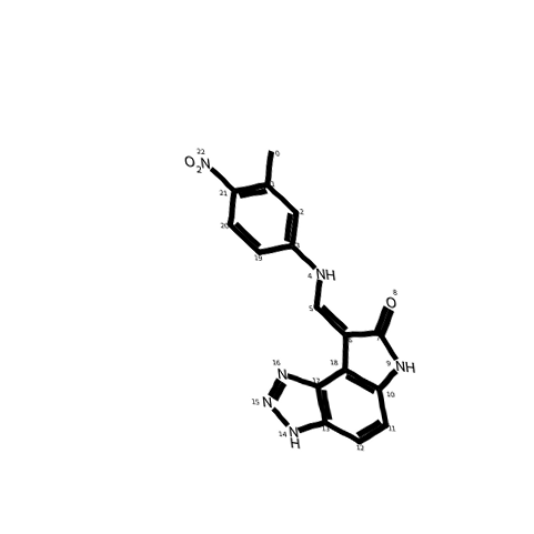 Cc1cc(NC=C2C(=O)Nc3ccc4[nH]nnc4c32)ccc1[N+](=O)[O-]